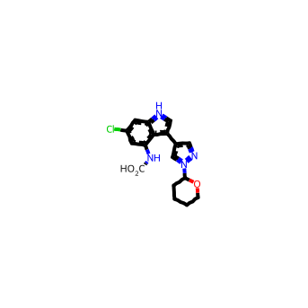 O=C(O)Nc1cc(Cl)cc2[nH]cc(-c3cnn(C4CCCCO4)c3)c12